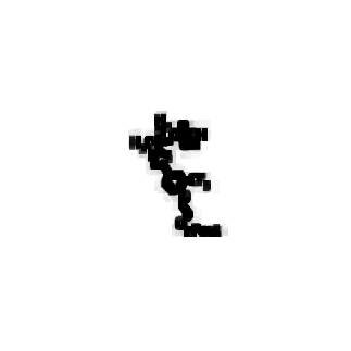 CCCCCOCCOc1ccc(C2CN=C([C@@](C)(N)COP(=O)(O)O)S2)cc1C(F)(F)F